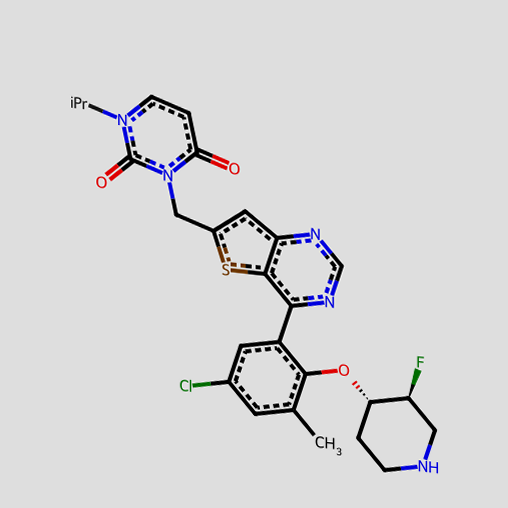 Cc1cc(Cl)cc(-c2ncnc3cc(Cn4c(=O)ccn(C(C)C)c4=O)sc23)c1O[C@H]1CCNC[C@@H]1F